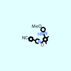 COC1CCc2nc(-c3cc(C(=O)N4CCC(c5ccc(C#N)cc5)CC4)c(C)cc3C)[nH]c2C1